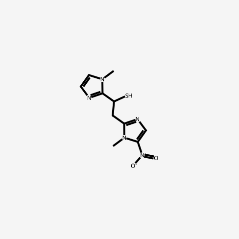 Cn1ccnc1C(S)Cc1ncc([N+](=O)[O-])n1C